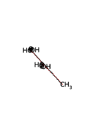 CCCCCCCCCCCCCCCCCCCCCCCCCCCC(CCCCCCCCCCCCCCCCCCP(=O)(O)O)P(=O)(O)O